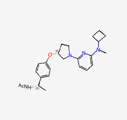 CC(=O)N[C@@H](C)c1ccc(O[C@@H]2CCN(c3cccc(N(C)C4CCC4)n3)C2)cc1